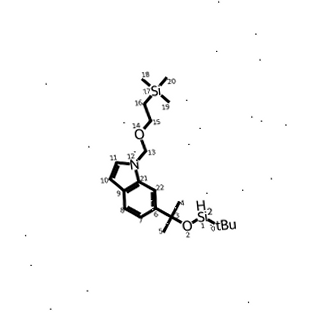 CC(C)(C)[SiH2]OC(C)(C)c1ccc2ccn(COCC[Si](C)(C)C)c2c1